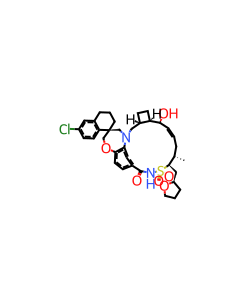 C[C@H]1C/C=C\[C@H](O)[C@@H]2CC[C@H]2CN2C[C@@]3(CCCc4cc(Cl)ccc43)COc3ccc(cc32)C(=O)NS(=O)(=O)[C@@H]1C[C@H]1CCCO1